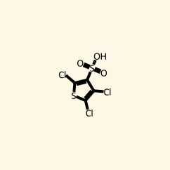 O=S(=O)(O)c1c(Cl)sc(Cl)c1Cl